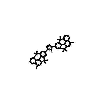 Cc1cc2c3c4c(cccc14)C(C)(C)c1cc(-c4ccc(-c5cc6c7c(c5)C(C)(C)c5cccc8c(C)cc(c-7c58)C6(C)C)n4C)cc(c1-3)C2(C)C